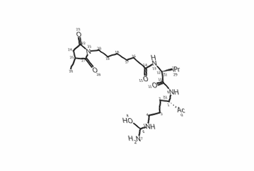 CC(=O)[C@H](CCCNC(N)O)NC(=O)[C@@H](NC(=O)CCCCCN1C(=O)CC(C)C1=O)C(C)C